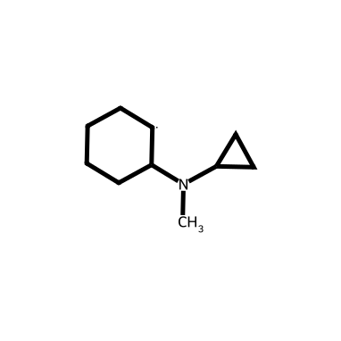 CN(C1[CH]CCCC1)C1CC1